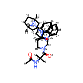 CC(=O)NC(C)(C)C(=O)N1CCC(CCN2[C@@H]3CC[C@H]2C[C@@H](n2c(C)nc4ccccc42)C3)(c2ccccc2)CC1